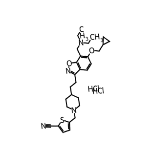 CCN(CC)Cc1c(OCC2CC2)ccc2c(CCC3CCN(Cc4ccc(C#N)s4)CC3)noc12.Cl.Cl